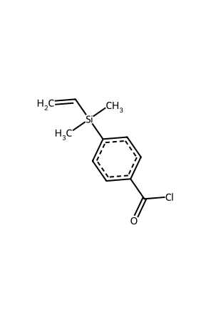 C=C[Si](C)(C)c1ccc(C(=O)Cl)cc1